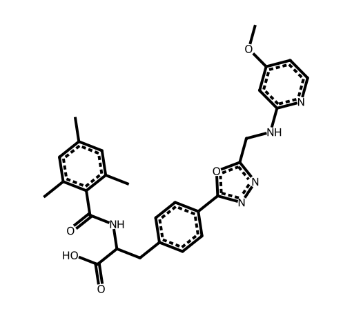 COc1ccnc(NCc2nnc(-c3ccc(CC(NC(=O)c4c(C)cc(C)cc4C)C(=O)O)cc3)o2)c1